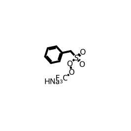 O=S(=O)(Cc1ccccc1)OOC(F)(F)F.[NaH]